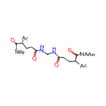 CNC(=O)C(CCC(=O)NCNC(=O)CCC(C(C)=O)C(=O)NC)C(C)=O